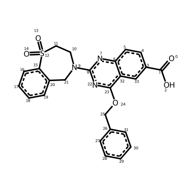 O=C(O)c1ccc2nc(N3CCS(=O)(=O)c4ccccc4C3)nc(OCc3ccccc3)c2c1